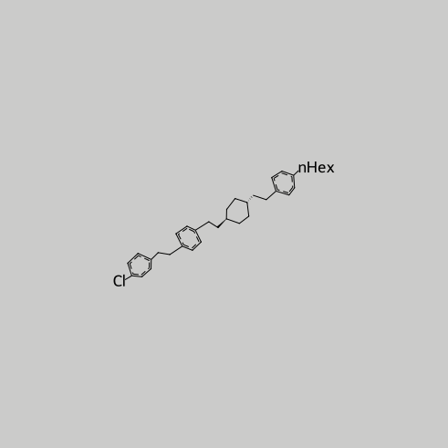 CCCCCCc1ccc(CC[C@H]2CC[C@H](CCc3ccc(CCc4ccc(Cl)cc4)cc3)CC2)cc1